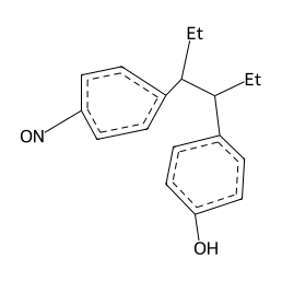 CCC(c1ccc(O)cc1)C(CC)c1ccc(N=O)cc1